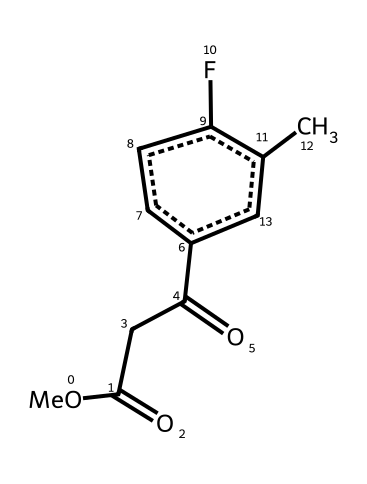 COC(=O)CC(=O)c1ccc(F)c(C)c1